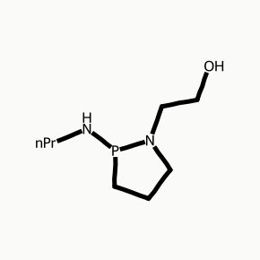 CCCNP1CCCN1CCO